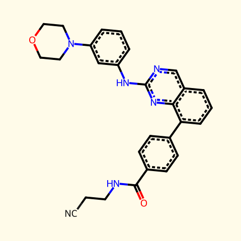 N#CCCNC(=O)c1ccc(-c2cccc3cnc(Nc4cccc(N5CCOCC5)c4)nc23)cc1